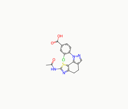 CC(=O)Nc1nc2c(s1)-c1c(cnn1-c1ccc(C(=O)O)cc1Cl)CC2